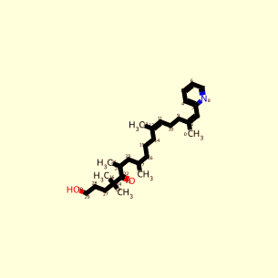 CC(=Cc1ccccn1)CCC=C(C)CCCC(C)CC(C)C(=O)C(C)(C)CCCO